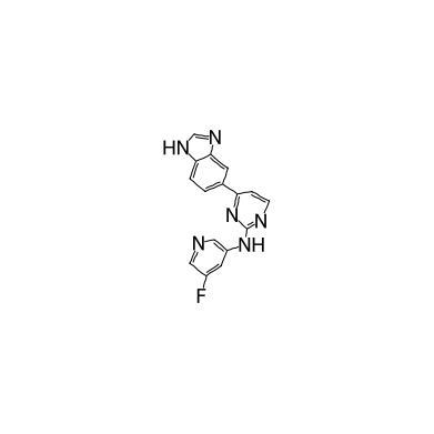 Fc1cncc(Nc2nccc(-c3ccc4[nH]cnc4c3)n2)c1